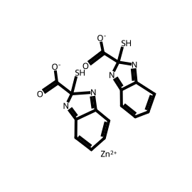 O=C([O-])C1(S)N=c2ccccc2=N1.O=C([O-])C1(S)N=c2ccccc2=N1.[Zn+2]